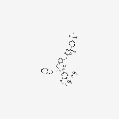 COc1cc([C@@H](O)[C@H](CC2Cc3ccccc3C2)Cn2ccc(CC(=O)NS(=O)(=O)c3ccc(C(F)(F)F)cc3)c2)cc(OC)c1C